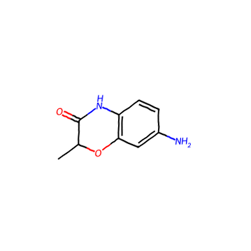 CC1Oc2cc(N)ccc2NC1=O